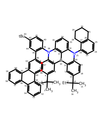 CCC(C)(C)c1ccc2c(c1)B1c3cc(C(C)(C)CC)ccc3N(c3cccc4c3CCCC4)c3cccc(c31)N2c1ccc(C(C)(C)C)cc1-c1ccc2c3ccccc3c3ccccc3c2c1